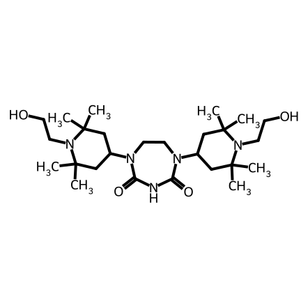 CC1(C)CC(N2CCN(C3CC(C)(C)N(CCO)C(C)(C)C3)C(=O)NC2=O)CC(C)(C)N1CCO